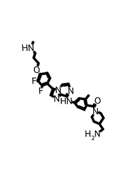 CNCCCOc1ccc(-c2cnc3c(Nc4ccc(C(=O)N5CCC(CN)CC5)c(C)c4)nccn23)c(F)c1F